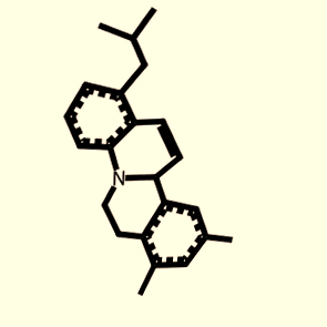 Cc1cc(C)c2c(c1)C1C=Cc3c(CC(C)C)cccc3N1CC2